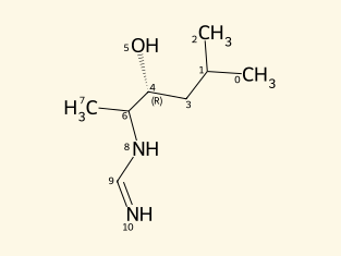 CC(C)C[C@@H](O)C(C)NC=N